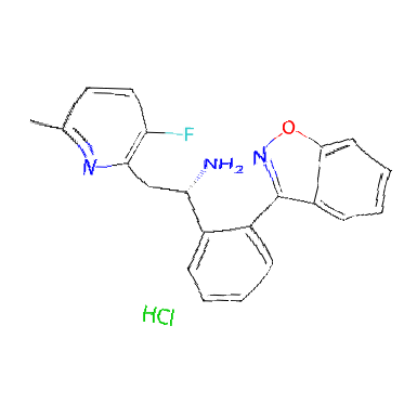 Cc1ccc(F)c(C[C@H](N)c2ccccc2-c2noc3ccccc23)n1.Cl